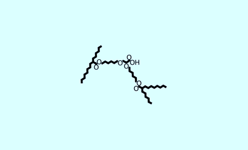 CCCCCCCCC(CCCCCC)C(=O)OCCCCCCOCC(OCCCCCCOC(=O)C(CCCCCC)CCCCCCCC)C(=O)O